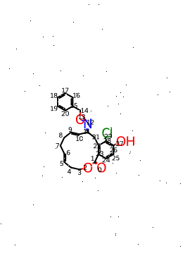 O=C1OCC/C=C/CC/C=C/C(=N\OCc2ccccc2)Cc2c1ccc(O)c2Cl